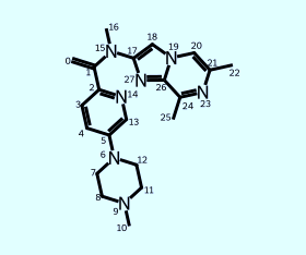 C=C(c1ccc(N2CCN(C)CC2)cn1)N(C)c1cn2cc(C)nc(C)c2n1